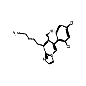 NCCCCc1c(CN)c(-c2ccc(Cl)cc2Cl)cn2ccnc12